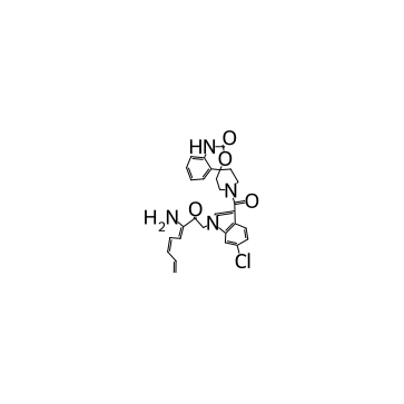 C=C/C=C\C=C(/N)C(=O)Cn1cc(C(=O)N2CCC3(CC2)OC(=O)Nc2ccccc23)c2ccc(Cl)cc21